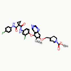 COc1c(OCC2CCN(C(=O)OC(C)(C)C)CC2)cc2ncncc2c1Oc1ccc(NC(=O)C2(C(=O)Nc3ccc(F)cc3)CC2)cc1F